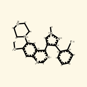 COc1cc2ncnc(-c3cn(C)nc3-c3ccccc3F)c2cc1N1CCOCC1